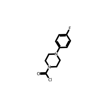 O=C(Cl)N1CCN(c2ccc(F)cc2)CC1